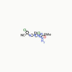 CC[C@H]1CN(c2nc(N)c(C(=O)OC)nc2Cl)CCN1C1CCN(Cc2ccc(Cl)cc2CC#N)CC1